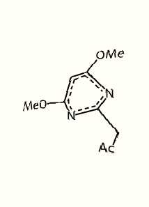 COc1cc(OC)nc(CC(C)=O)n1